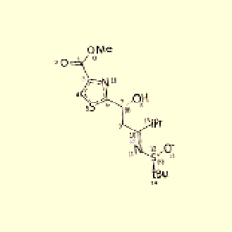 COC(=O)c1csc([C@H](O)C/C(=N/[S@@+]([O-])C(C)(C)C)C(C)C)n1